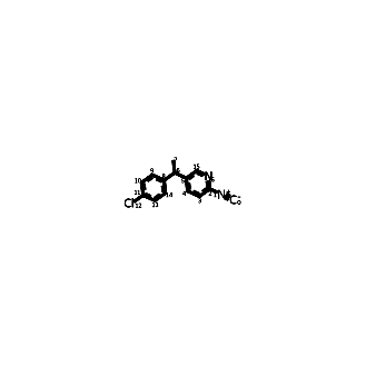 [C-]#[N+]c1ccc(C(C)c2ccc(Cl)cc2)cn1